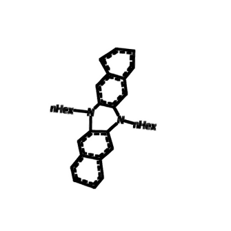 CCCCCCN1c2cc3ccccc3cc2N(CCCCCC)c2cc3ccccc3cc21